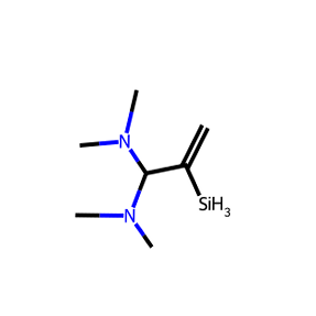 C=C([SiH3])C(N(C)C)N(C)C